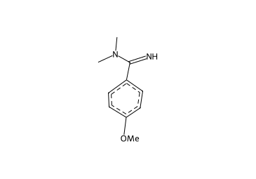 COc1ccc(C(=N)N(C)C)cc1